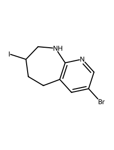 Brc1cnc2c(c1)CCC(I)CN2